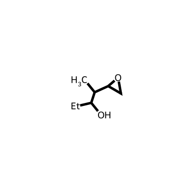 CCC(O)C(C)C1CO1